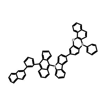 c1ccc(N2c3ccc(-c4ccc5c(c4)c4ccccc4n5-c4c5ccccc5c(-c5cccc(-c6ccc7ccccc7c6)c5)c5ccccc45)cc3Oc3c2ccc2ccccc32)cc1